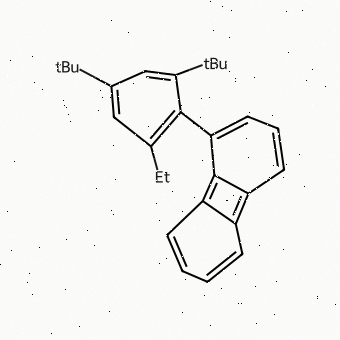 CCc1cc(C(C)(C)C)cc(C(C)(C)C)c1-c1cccc2c1=c1ccccc1=2